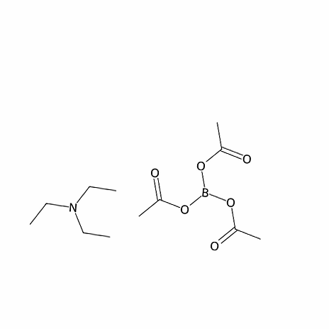 CC(=O)OB(OC(C)=O)OC(C)=O.CCN(CC)CC